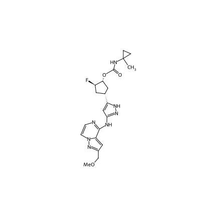 COCc1cc2c(Nc3cc([C@@H]4C[C@@H](F)[C@H](OC(=O)NC5(C)CC5)C4)[nH]n3)nccn2n1